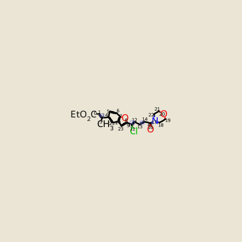 CCOC(=O)/C=C(\C)c1ccc2oc(/C(Cl)=C/C=C/C(=O)N3CCOCC3)cc2c1